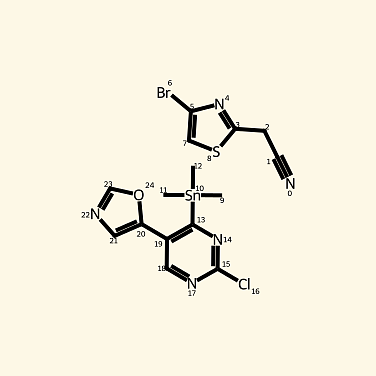 N#CCc1nc(Br)cs1.[CH3][Sn]([CH3])([CH3])[c]1nc(Cl)ncc1-c1cnco1